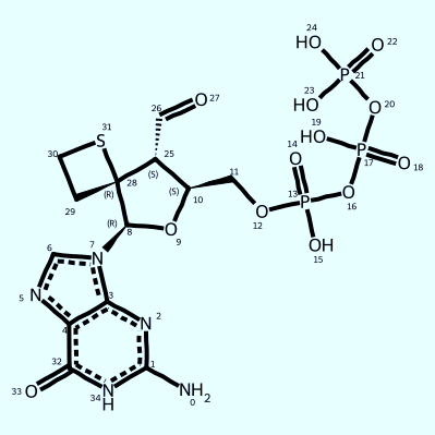 Nc1nc2c(ncn2[C@@H]2O[C@H](COP(=O)(O)OP(=O)(O)OP(=O)(O)O)[C@@H](C=O)[C@]23CCS3)c(=O)[nH]1